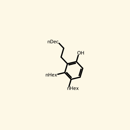 CCCCCCCCCCCCc1c(O)ccc(CCCCCC)c1CCCCCC